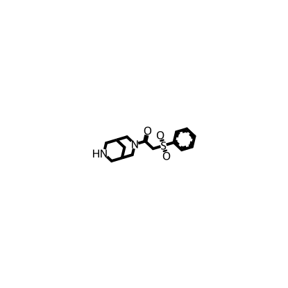 O=C(CS(=O)(=O)c1ccccc1)N1CC2CNCC(C2)C1